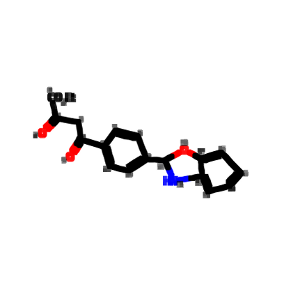 CCOC(=O)C(=O)CC(=O)c1ccc(C2Nc3ccccc3O2)cc1